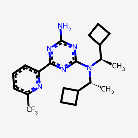 C[C@H](C1CCC1)N(c1nc(N)nc(-c2cccc(C(F)(F)F)n2)n1)[C@H](C)C1CCC1